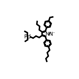 CCCCCc1ccc(C2=C(CCCC)C(CCCC)=C(c3ccc(CC)cc3)[N+]2=[N-])cc1.C[CH2][Pd][CH2]C